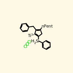 CCCCCC1=C(Cc2ccccc2)[C]([Ti+3])=C([SiH2]c2ccccc2)C1.[Cl-].[Cl-].[Cl-]